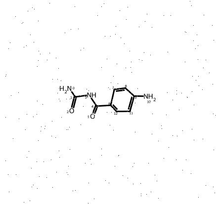 NC(=O)NC(=O)c1ccc(N)cc1